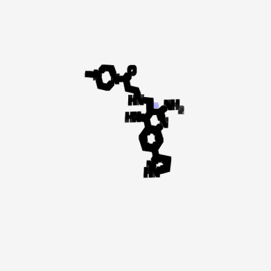 CN1CCN(C(=O)CCN/C=C2\C(=N)c3ccc(-c4cc[nH]n4)cc3N=C2N)CC1